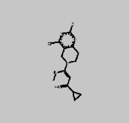 CN/C(=C\C(=N)C1CC1)N1CCc2nc(Cl)nc(Cl)c2C1